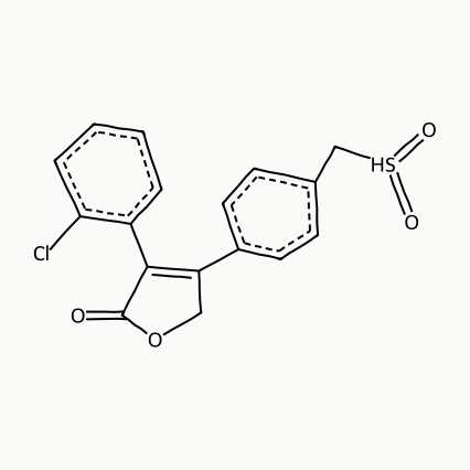 O=C1OCC(c2ccc(C[SH](=O)=O)cc2)=C1c1ccccc1Cl